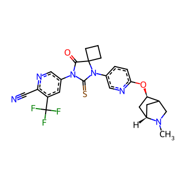 CN1CC2C[C@H]1C[C@H]2Oc1ccc(N2C(=S)N(c3cnc(C#N)c(C(F)(F)F)c3)C(=O)C23CCC3)cn1